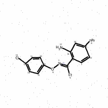 CCCc1ccc(/C(CC)=N/Oc2ccc(Cl)cc2)c(N)c1